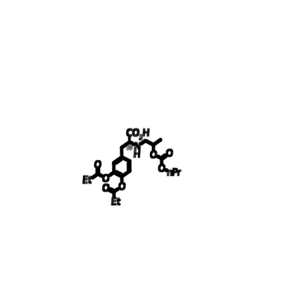 CCCOC(=O)OC(C)CN[C@@H](Cc1ccc(OC(=O)CC)c(OC(=O)CC)c1)C(=O)O